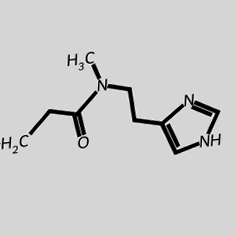 [CH2]CC(=O)N(C)CCc1c[nH]cn1